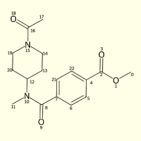 COC(=O)c1ccc(C(=O)N(C)C2CCN(C(C)=O)CC2)cc1